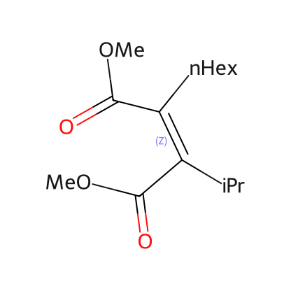 CCCCCC/C(C(=O)OC)=C(/C(=O)OC)C(C)C